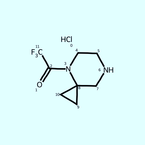 Cl.O=C(N1CCNCC12CC2)C(F)(F)F